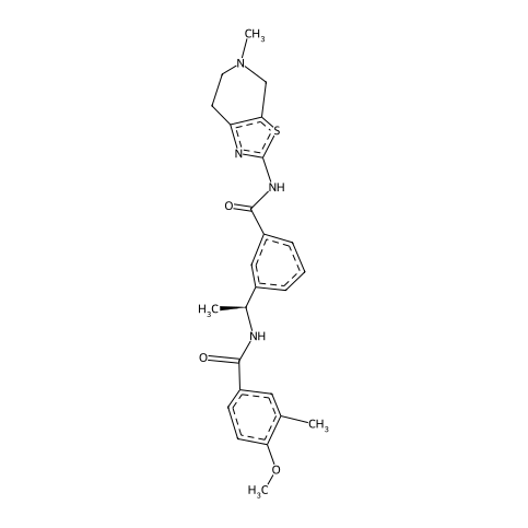 COc1ccc(C(=O)N[C@@H](C)c2cccc(C(=O)Nc3nc4c(s3)CN(C)CC4)c2)cc1C